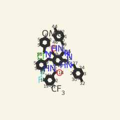 COc1ccc(CN2C(=O)c3c(c(NC(=O)c4cc(F)cc(C(F)(F)F)c4)cc4c(NCc5ccc(C)cc5)nnc(NCc5ccc(C)cc5)c34)C2c2cc(F)ccc2Cl)cc1